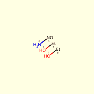 CCO.CCO.NN=O